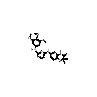 COc1cc(Nc2ncnc(Nc3ccc4c(n3)NC(=O)C(C)(C)O4)n2)cc(OC)c1OC